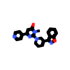 Cn1c(N2CCC=C(c3noc4ccccc34)C2)nc(-c2ccncc2)cc1=O